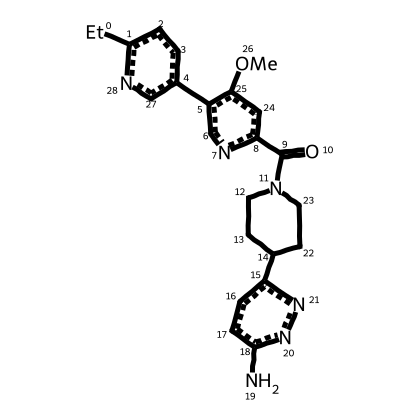 CCc1ccc(-c2cnc(C(=O)N3CCC(c4ccc(N)nn4)CC3)cc2OC)cn1